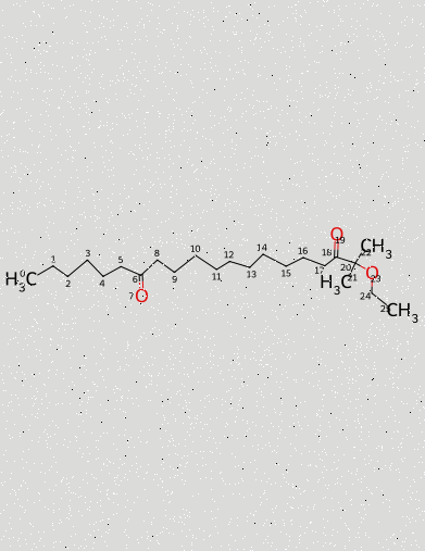 CCCCCCC(=O)CCCCCCCCCCC(=O)C(C)(C)OCC